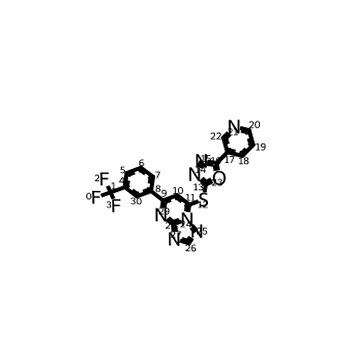 FC(F)(F)c1cccc(-c2cc(Sc3nnc(-c4cccnc4)o3)n3ncnc3n2)c1